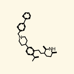 C=C1CCC(CCc2cc(C3CCN(Cc4ccc(-c5ccccc5)cc4)CC3)ccc2C(=C)C)C(=C)N1